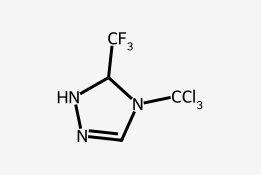 FC(F)(F)C1NN=CN1C(Cl)(Cl)Cl